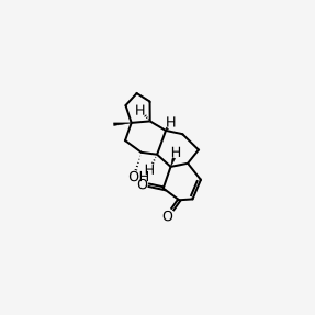 C[C@@]12CCC[C@H]1[C@@H]1CCC3C=CC(=O)C(=O)[C@@H]3[C@H]1[C@H](O)C2